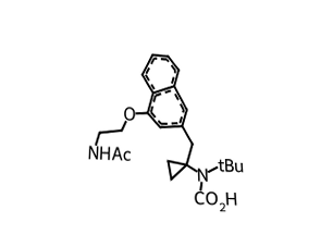 CC(=O)NCCOc1cc(CC2(N(C(=O)O)C(C)(C)C)CC2)cc2ccccc12